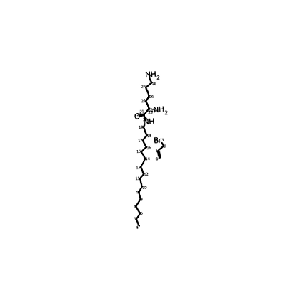 C=CCBr.CCCCCCCCCCCCCCCCNC(=O)[C@@H](N)CCCCN